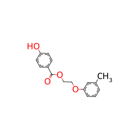 Cc1cccc(OCCOC(=O)c2ccc(O)cc2)c1